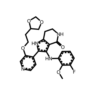 COc1c(F)cccc1Nc1c(-c2ccncc2OCCC2COCO2)[nH]c2c1C(=O)NCC2